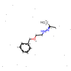 C/C(=N/NCCOCc1ccccc1)C(=O)O